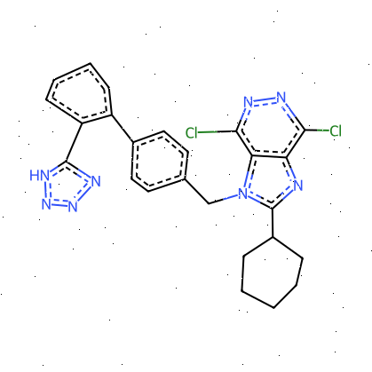 Clc1nnc(Cl)c2c1nc(C1CCCCC1)n2Cc1ccc(-c2ccccc2-c2nnn[nH]2)cc1